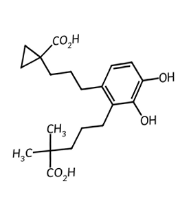 CC(C)(CCCc1c(CCCC2(C(=O)O)CC2)ccc(O)c1O)C(=O)O